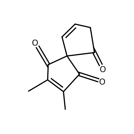 CC1=C(C)C(=O)C2(C=CCC2=O)C1=O